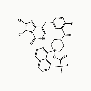 O=C(c1cc(Cc2n[nH]c(=O)n3c(Cl)c(Cl)nc23)ccc1F)N1CC[N+](OC(=O)C(F)(F)F)(c2nccc3ccccc23)CC1